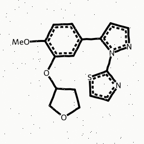 COc1ccc(-c2ccnn2-c2nccs2)cc1OC1CCOC1